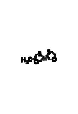 CC1=CS[C@H](C2=COCCS2)CO1